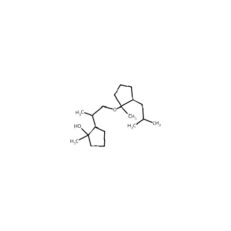 CC(C)CC1CCCC1(C)OCC(C)C1CCCC1(C)O